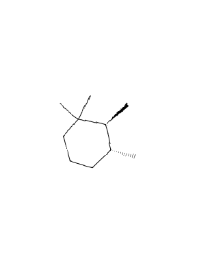 C[C@@H]1CCCC(C)(C)[C@H]1C